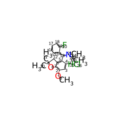 COc1cc2c(c3c1OC(C)(C)C3)C(c1ccccc1F)=NC(C)(C)C2.Cl